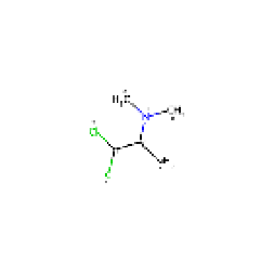 CN(C)C([SiH3])C(Cl)Cl